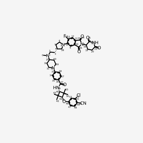 CN(CC[C@@H]1CCN(c2cc3c(cc2F)C(=O)N(C2CCC(=O)NC2=O)C3=O)C1)C1CCN(c2ccc(C(=O)N[C@H]3C(C)(C)[C@H](Oc4ccc(C#N)c(Cl)c4)C3(C)C)cc2)CC1